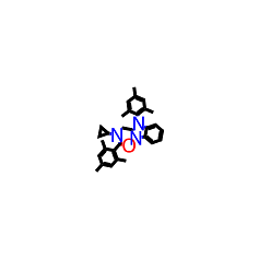 Cc1cc(C)c(C(=O)N(Cc2nc3ccccc3n2-c2c(C)cc(C)cc2C)C2CC2)c(C)c1